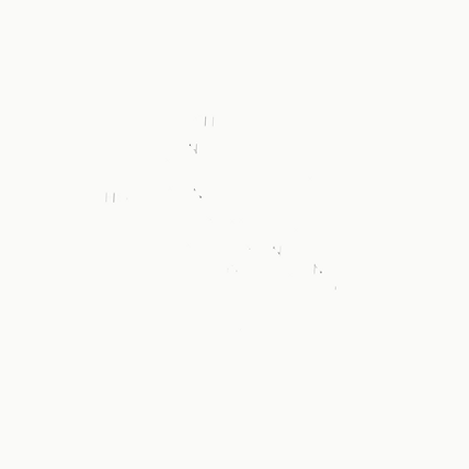 CN1C=C(CO)N(C(=O)OC(=O)N2C(CO)=CN(C)C2c2ccccc2)C1c1ccccc1